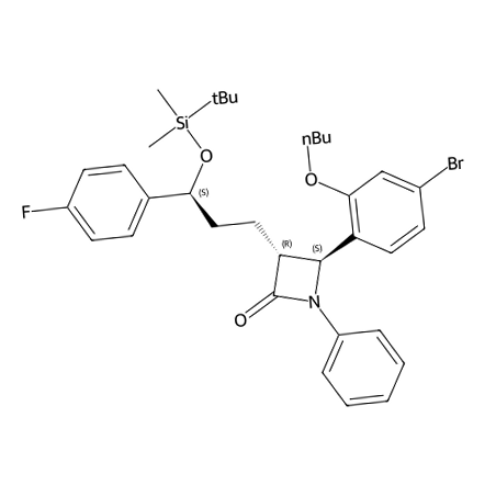 CCCCOc1cc(Br)ccc1[C@@H]1[C@@H](CC[C@H](O[Si](C)(C)C(C)(C)C)c2ccc(F)cc2)C(=O)N1c1ccccc1